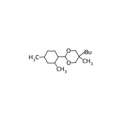 CCC(C)C1(C)COC(C2CCC(C)CC2C)OC1